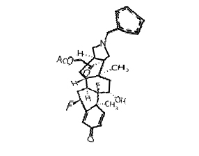 CC(=O)OCC(=O)[C@@]12CN(Cc3ccccc3)C[C@@H]1C[C@H]1[C@@H]3C[C@H](F)C4=CC(=O)C=C[C@]4(C)[C@@]3(F)[C@@H](O)C[C@@]12C